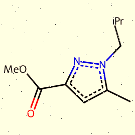 COC(=O)c1cc(C)n(CC(C)C)n1